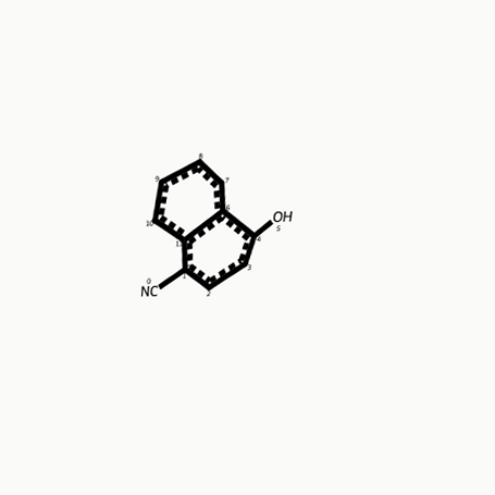 N#Cc1ccc(O)c2ccccc12